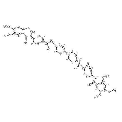 COc1cc(CO)c(C(=O)Oc2ccc(C(=O)Oc3ccc(-c4ccc(OC(=O)c5ccc(OC(=O)c6cc(CO)c(CO)cc6OC)cc5)cc4)cc3)cc2)cc1OC